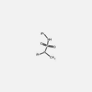 CC(C)NS(=O)(=O)N(C)C(C)C